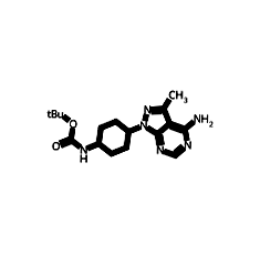 Cc1nn(C2CCC(NC(=O)OC(C)(C)C)CC2)c2ncnc(N)c12